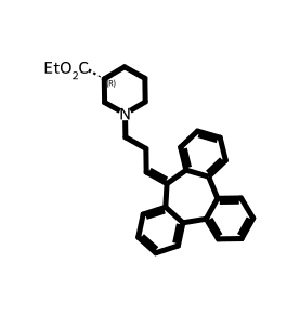 CCOC(=O)[C@@H]1CCCN(CCC=C2c3ccccc3-c3ccccc3-c3ccccc32)C1